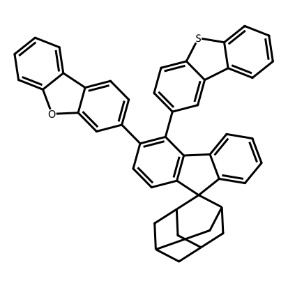 c1ccc2c(c1)-c1c(ccc(-c3ccc4c(c3)oc3ccccc34)c1-c1ccc3sc4ccccc4c3c1)C21C2CC3CC(C2)CC1C3